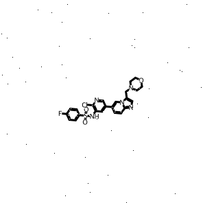 O=S(=O)(Nc1cc(-c2ccc3ncc(CN4CCOCC4)n3c2)cnc1Cl)c1ccc(F)cc1